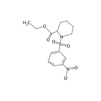 CCOC(=O)C1CCCCN1S(=O)(=O)c1cccc([N+](=O)[O-])c1